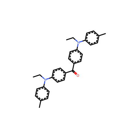 CCN(c1ccc(C)cc1)c1ccc(C(=O)c2ccc(N(CC)c3ccc(C)cc3)cc2)cc1